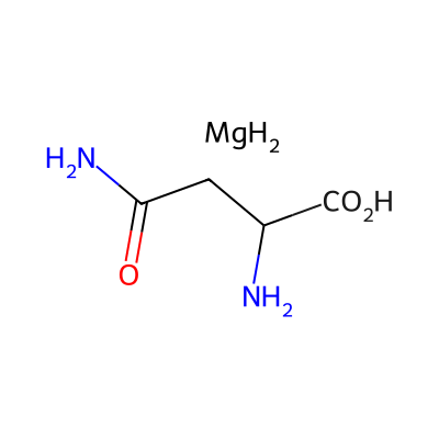 NC(=O)CC(N)C(=O)O.[MgH2]